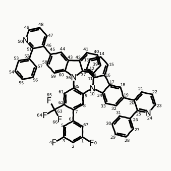 Fc1cc(F)cc(-c2cc(-n3c4ccccc4c4cc(-c5cccnc5-c5ccccc5)ccc43)c(-n3c4ccccc4c4cc(-c5cccnc5-c5ccccc5)ccc43)cc2C(F)(F)F)c1